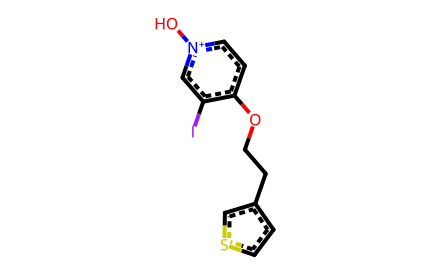 O[n+]1ccc(OCCc2ccsc2)c(I)c1